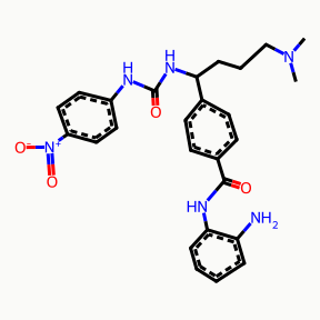 CN(C)CCCC(NC(=O)Nc1ccc([N+](=O)[O-])cc1)c1ccc(C(=O)Nc2ccccc2N)cc1